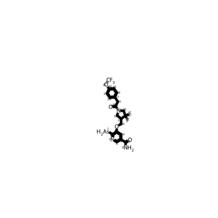 NC(=O)c1cnc([AsH2])c(OCC2CN(C(=O)Cc3ccc(OC(F)(F)F)cc3)CC2(F)F)c1